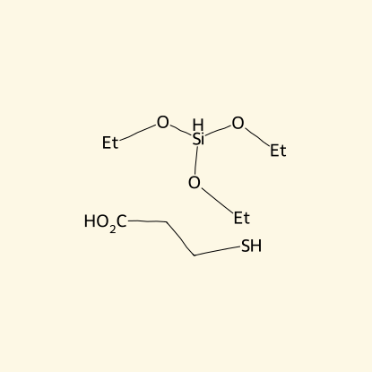 CCO[SiH](OCC)OCC.O=C(O)CCS